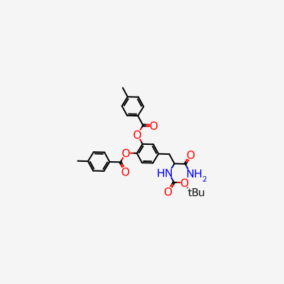 Cc1ccc(C(=O)Oc2ccc(CC(NC(=O)OC(C)(C)C)C(N)=O)cc2OC(=O)c2ccc(C)cc2)cc1